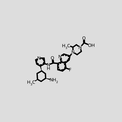 CC1CN(C(=O)O)CCN1c1cnc2c(C(=O)Nc3cnccc3[C@@H]3C[C@H](C)C[C@H](N)C3)ccc(F)c2c1